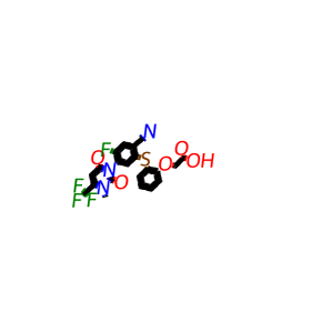 Cn1c(C(F)(F)F)cc(=O)n(-c2cc(Sc3ccccc3OCC(=O)O)c(C#N)cc2F)c1=O